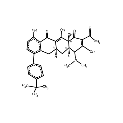 CN(C)C1C(O)=C(C(N)=O)C(=O)[C@@]2(O)C(O)=C3C(=O)c4c(O)ccc(-c5ccc(C(C)(C)C)cc5)c4C[C@H]3C[C@@H]12